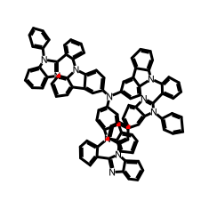 c1ccc(-n2c(-c3ccccc3-n3c4ccccc4c4cc(N(c5ccc6c(c5)c5ccccc5n6-c5ccccc5-c5nc6ccccc6n5-c5ccccc5)c5ccc6c(c5)c5ccccc5n6-c5ccccc5-c5nc6ccccc6n5-c5ccccc5)ccc43)nc3ccccc32)cc1